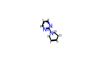 [C]1=CCN(c2ncccn2)CC1